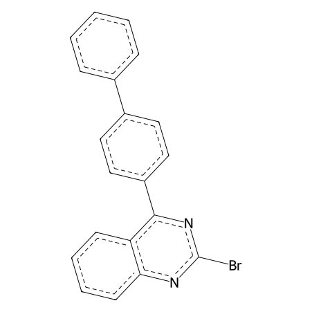 Brc1nc(-c2ccc(-c3ccccc3)cc2)c2ccccc2n1